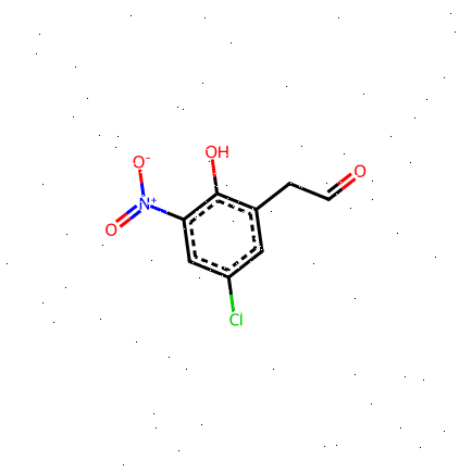 O=CCc1cc(Cl)cc([N+](=O)[O-])c1O